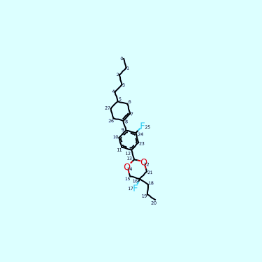 CCCCCC1CC=C(c2ccc(C3OCC(F)(CCC)CO3)cc2F)CC1